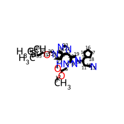 CCOC(=O)CNc1nn(C(CC#N)C2CCCC2)cc1-c1ncnc2c1ccn2COCC[Si](C)(C)C